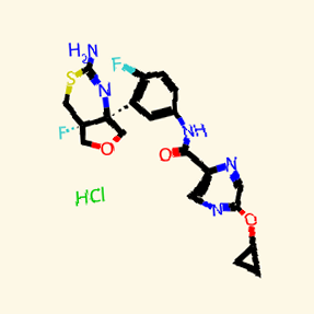 Cl.NC1=N[C@@]2(c3cc(NC(=O)c4cnc(OC5CC5)cn4)ccc3F)COC[C@@]2(F)CS1